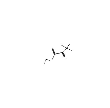 CCOC(=O)C(=N)C(F)(F)F